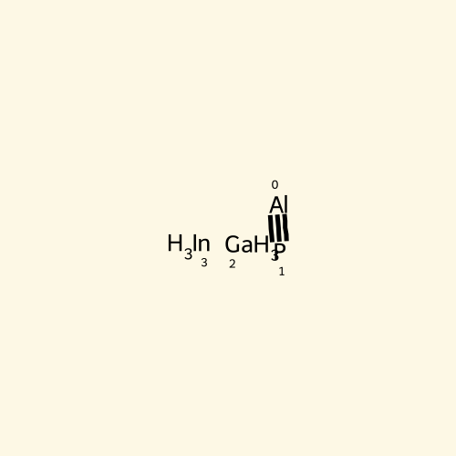 [Al]#[P].[GaH3].[InH3]